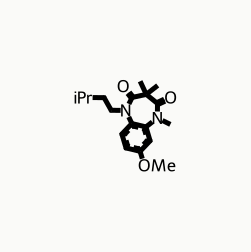 COc1ccc2c(c1)N(C)C(=O)C(C)(C)C(=O)N2CCC(C)C